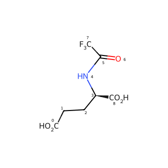 O=C(O)CC[C@@H](NC(=O)C(F)(F)F)C(=O)O